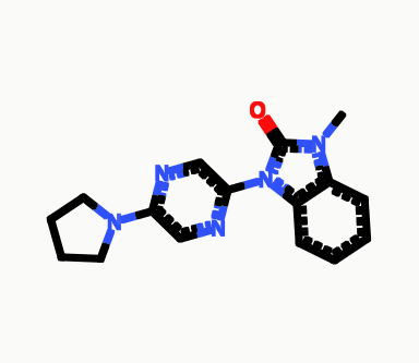 Cn1c(=O)n(-c2cnc(N3CCCC3)cn2)c2ccccc21